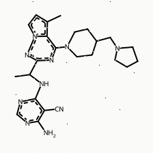 Cc1ccn2nc(C(C)Nc3ncnc(N)c3C#N)nc(N3CCC(CN4CCCC4)CC3)c12